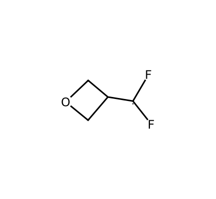 F[C](F)C1COC1